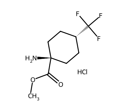 COC(=O)[C@]1(N)CC[C@H](C(F)(F)F)CC1.Cl